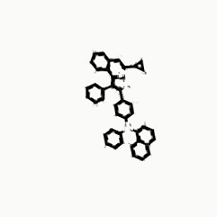 c1ccc(-c2c(-c3ccc(N(c4ccccc4)c4cccc5ccccc45)cc3)nn3c(C4CC4)cc4ccccc4c23)cc1